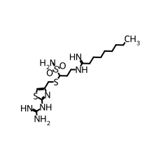 CCCCCCCCC(=N)NCCC(SCc1csc(NC(=N)N)n1)S(N)(=O)=O